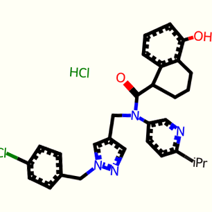 CC(C)c1ccc(N(Cc2cnn(Cc3ccc(Cl)cc3)c2)C(=O)C2CCCc3c(O)cccc32)cn1.Cl